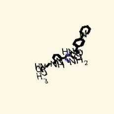 CC(=O)NCCNc1cccc(C(/C=C(\C=O)NC(=O)c2ccc(N3CCCCC3)cc2)=C/N)n1